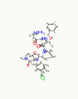 CC(OCc1ccccc1)[C@H](NC(=O)[C@H](C)N)C(=O)N1CCCC1C1=N[C@@](Cc2cccc(Cl)c2)(C(=O)N(C)C)CO1